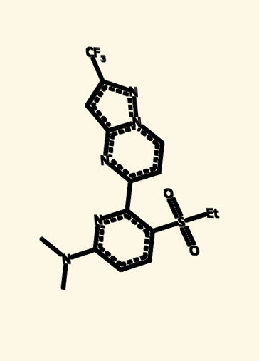 CCS(=O)(=O)c1ccc(N(C)C)nc1-c1ccn2nc(C(F)(F)F)cc2n1